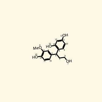 COc1cc(C(CCO)c2ccc(O)cc2O)ccc1O